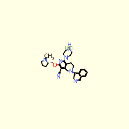 CN1CCC[C@H]1COc1nc(N2CCNCC2)c2c(c1C#N)CN(c1cncc3ccccc13)CC2.Cl